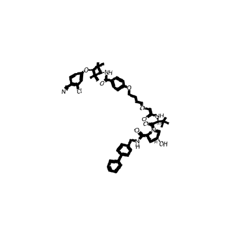 CC(C)(C)[C@H](NC(=O)COCCCCOc1ccc(C(=O)N[C@H]2C(C)(C)[C@H](Oc3ccc(C#N)c(Cl)c3)C2(C)C)cc1)C(=O)N1C[C@H](O)CC1C(=O)NCc1ccc(-c2ccccc2)cc1